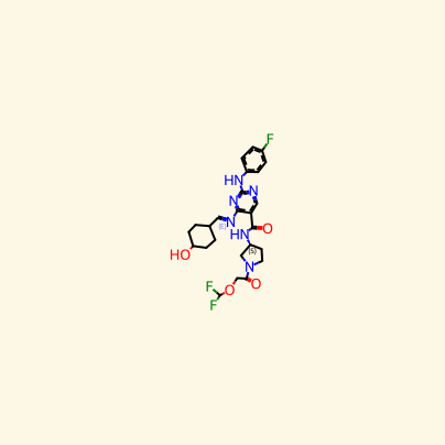 O=C(N[C@H]1CCN(C(=O)COC(F)F)C1)c1cnc(Nc2ccc(F)cc2)nc1/N=C/C1CCC(O)CC1